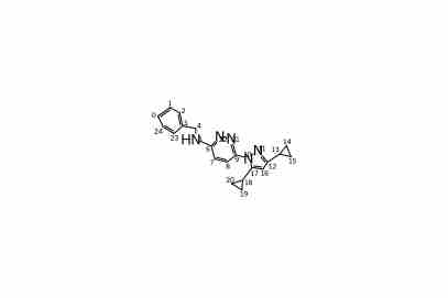 c1ccc(CNc2ccc(-n3nc(C4CC4)cc3C3CC3)nn2)cc1